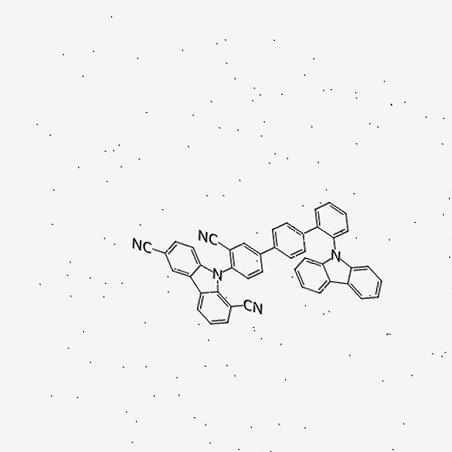 N#Cc1ccc2c(c1)c1cccc(C#N)c1n2-c1ccc(-c2ccc(-c3ccccc3-n3c4ccccc4c4ccccc43)cc2)cc1C#N